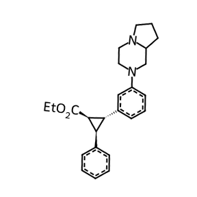 CCOC(=O)[C@@H]1[C@H](c2ccccc2)[C@H]1c1cccc(N2CCN3CCCC3C2)c1